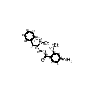 CCOc1cc(N)ccc1C(=O)OC[C@H](Cc1ccccc1)N(CC)CC